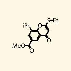 CCSc1cc(=O)c2cc(C(=O)OC)cc(C(C)C)c2o1